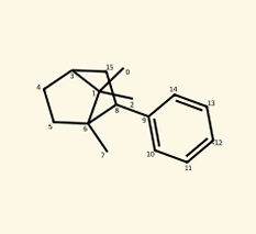 CC1(C)C2CCC1(C)C(c1cc[c]cc1)C2